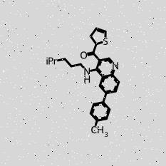 Cc1ccc(-c2ccc3ncc(C(=O)C4CC=CS4)c(NCCCC(C)C)c3c2)cc1